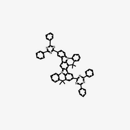 CC1(C)c2ccccc2-n2c3ccc(-c4nc(-c5ccccc5)nc(-c5ccccc5)n4)cc3c3cc4c(c1c32)c1cc(-c2nc(-c3ccccc3)nc(-c3ccccc3)n2)cc2c1n4-c1ccccc1C2(C)C